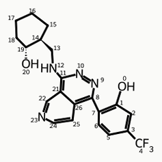 Oc1cc(C(F)(F)F)ccc1-c1nnc(NC[C@@H]2CCCC[C@H]2O)c2cnccc12